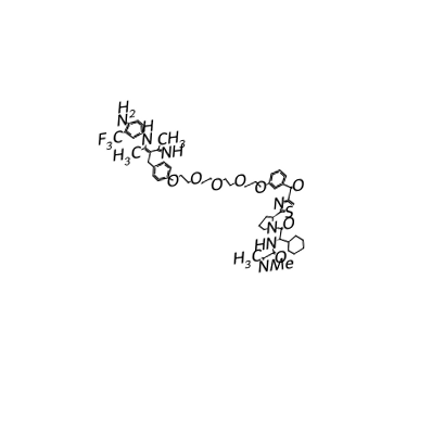 CN[C@@H](C)C(=O)N[C@H](C(=O)N1CCC[C@H]1c1nc(C(=O)c2cccc(OCCOCCOCCOCCOc3ccc(C/C(C(C)=N)=C(\C)Nc4ccc(N)c(C(F)(F)F)c4)cc3)c2)cs1)C1CCCCC1